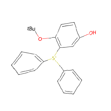 CC(C)(C)Oc1ccc(O)cc1[S+](c1ccccc1)c1ccccc1